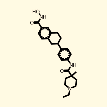 CCN1CCC(C)(C(=O)Nc2ccc(C3CCc4cc(C(=O)NO)ccc4C3)cc2)CC1